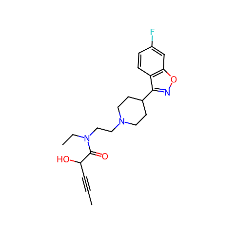 CC#CC(O)C(=O)N(CC)CCN1CCC(c2noc3cc(F)ccc23)CC1